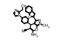 CCc1nccn1-c1ccc(C2C(C#N)=C(N)Oc3c2c(-c2cc4ccccc4o2)nn3C)cc1